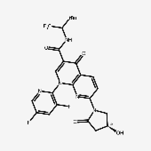 CC(C)(C)C(NC(=O)c1cn(-c2ncc(F)cc2F)c2nc(N3C[C@@H](O)CC3=O)ccc2c1=O)C(F)(F)F